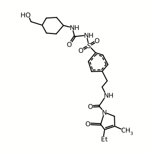 CCC1=C(C)CN(C(=O)NCCc2ccc(S(=O)(=O)NC(=O)NC3CCC(CO)CC3)cc2)C1=O